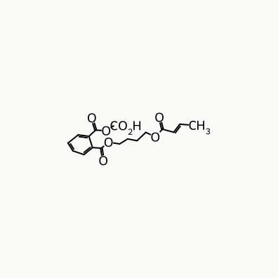 CC=CC(=O)OCCCCOC(=O)c1ccccc1C(=O)OC(=O)O